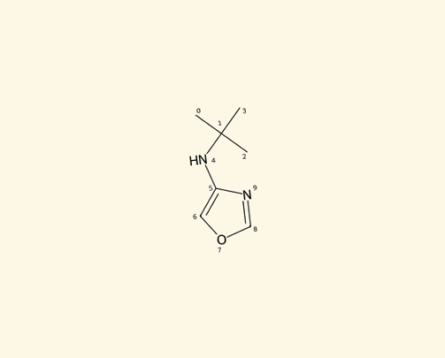 CC(C)(C)Nc1cocn1